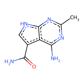 Cc1nc(N)c2c(C(N)=O)c[nH]c2n1